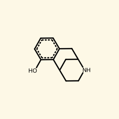 Oc1cccc2c1C1CCNC(C2)C1